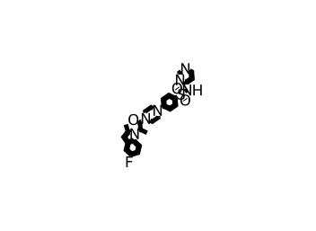 Cc1cc2cc(F)ccc2n1C(C)C(=O)N1CCN(c2ccc(S(=O)(=O)Nc3ccncn3)cc2)CC1